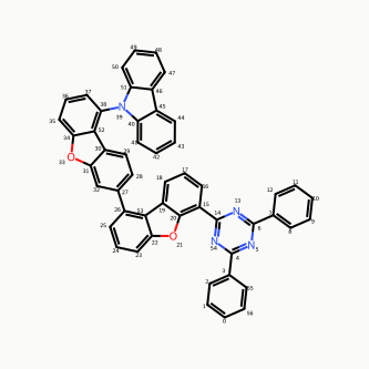 c1ccc(-c2nc(-c3ccccc3)nc(-c3cccc4c3oc3cccc(-c5ccc6c(c5)oc5cccc(-n7c8ccccc8c8ccccc87)c56)c34)n2)cc1